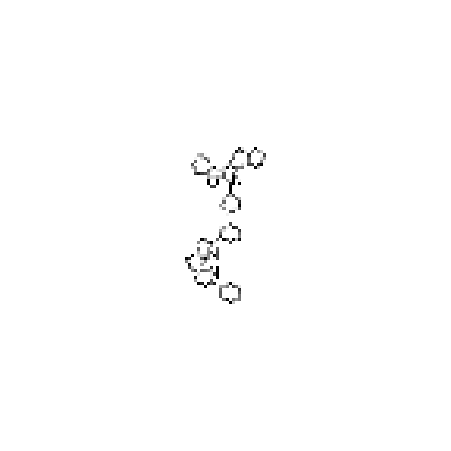 c1ccc(-c2ccc3ccc4ccc(-c5cccc(-c6ccc(-c7nc8c9ccccc9ccc8c8c7oc7ccccc78)cc6)c5)nc4c3n2)cc1